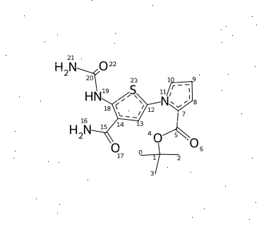 CC(C)(C)OC(=O)c1cccn1-c1cc(C(N)=O)c(NC(N)=O)s1